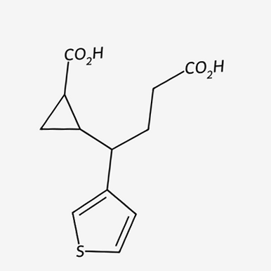 O=C(O)CCC(c1ccsc1)C1CC1C(=O)O